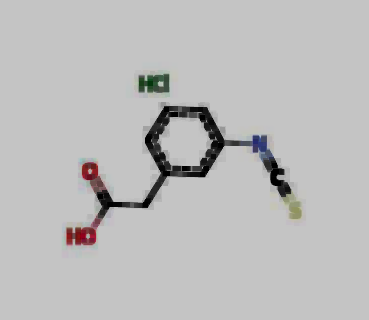 Cl.O=C(O)Cc1cccc(N=C=S)c1